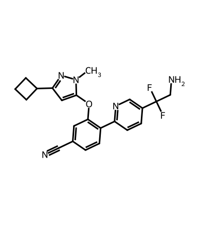 Cn1nc(C2CCC2)cc1Oc1cc(C#N)ccc1-c1ccc(C(F)(F)CN)cn1